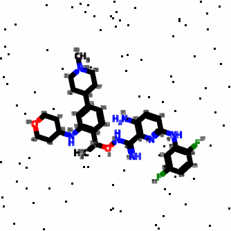 CB(ONC(=N)c1nc(Nc2cc(F)ccc2F)ccc1N)c1ccc(C2CCN(C)CC2)cc1NC1CCOCC1